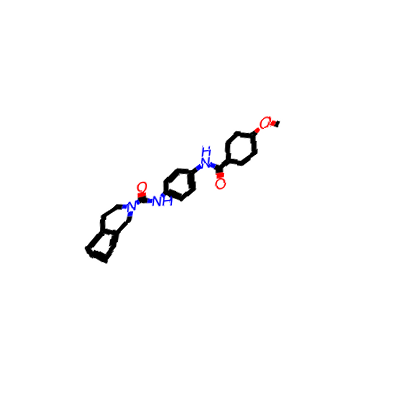 COC1CCC(C(=O)Nc2ccc(NC(=O)N3CCc4ccccc4C3)cc2)CC1